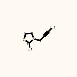 CCC#CCN1CCOC1CC